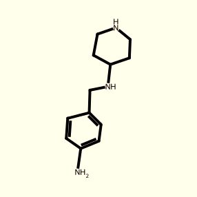 Nc1ccc(CNC2CCNCC2)cc1